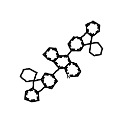 c1ccc2c(c1)-c1ccc(-c3c4ccccc4c(-c4ccc5c(c4)C4(CCCCC4)c4ccccc4-5)c4ncccc34)cc1C21CCCCC1